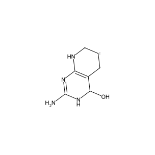 NC1=NC2=C(C[C]CN2)C(O)N1